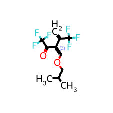 C=C(/C(=C/OCC(C)C)C(=O)C(F)(F)F)C(F)(F)F